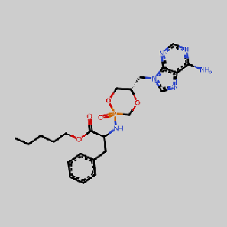 CCCCCOC(=O)C(Cc1ccccc1)NP1(=O)CO[C@@H](Cn2cnc3c(N)ncnc32)CO1